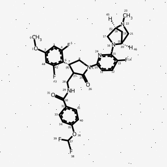 COc1cc(F)c([C@@H]2CN(c3ccc(F)c(N4C[C@@H]5C[C@H]4CN5C)n3)C(=O)C2CNC(=O)c2ccc(OC(F)F)cc2)c(F)c1